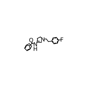 O=C(N[C@H]1CCN(CCc2ccc(F)cc2)C1)C1C2=CC=C1CC2